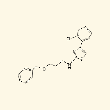 Clc1ccccc1-c1csc(NCCCOCc2ccccc2)n1